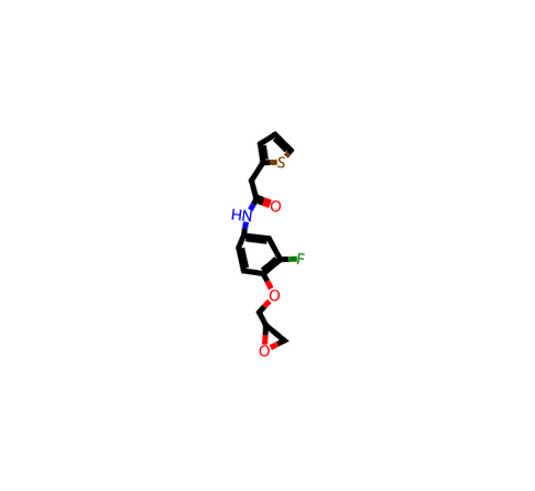 O=C(Cc1cccs1)Nc1ccc(OCC2CO2)c(F)c1